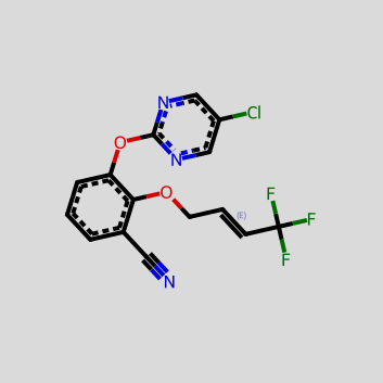 N#Cc1cccc(Oc2ncc(Cl)cn2)c1OC/C=C/C(F)(F)F